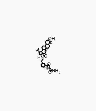 C=C(C)[C@@H]1CC[C@]2(C(=O)NCCc3cccc(C(=O)NCC(N)=O)c3)CC[C@]3(C)C(CCC4[C@@]5(C)CC[C@H](O)C(C)(C)C5CC[C@]43C)C12